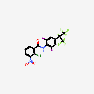 O=C(Nc1c(I)cc(C(F)(C(F)(F)F)C(F)(F)F)cc1I)c1cccc([N+](=O)[O-])c1Cl